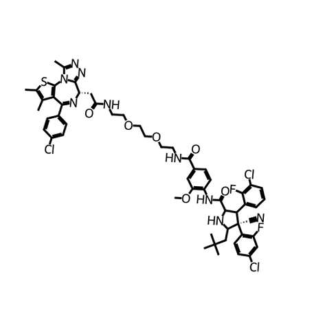 COc1cc(C(=O)NCCOCCOCCNC(=O)C[C@@H]2N=C(c3ccc(Cl)cc3)c3c(sc(C)c3C)-n3c(C)nnc32)ccc1NC(=O)C1NC(CC(C)(C)C)[C@](C#N)(c2ccc(Cl)cc2F)C1c1cccc(Cl)c1F